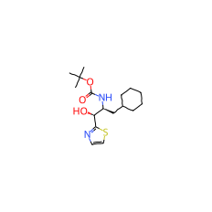 CC(C)(C)OC(=O)N[C@@H](CC1CCCCC1)[C@H](O)c1nccs1